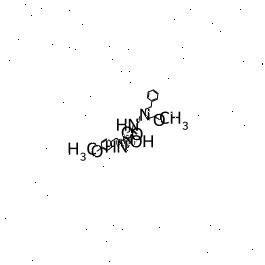 COCCN(CCNC(=O)O[C@@H]1[C@H](O)CN[C@H]1Cc1ccc(OC)cc1)CCc1ccccc1